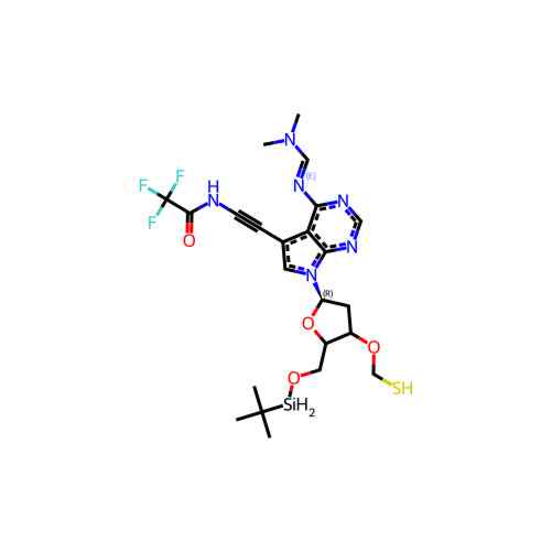 CN(C)/C=N/c1ncnc2c1c(C#CNC(=O)C(F)(F)F)cn2[C@H]1CC(OCS)C(CO[SiH2]C(C)(C)C)O1